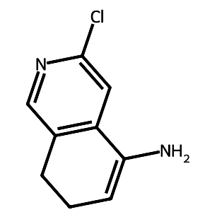 NC1=CCCc2cnc(Cl)cc21